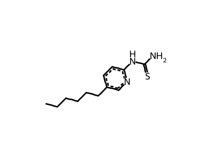 CCCCCCc1ccc(NC(N)=S)nc1